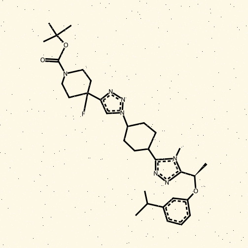 CC(C)c1cccc(O[C@H](C)c2nnc(C3CCC(n4cc(C5(F)CCN(C(=O)OC(C)(C)C)CC5)nn4)CC3)n2C)c1